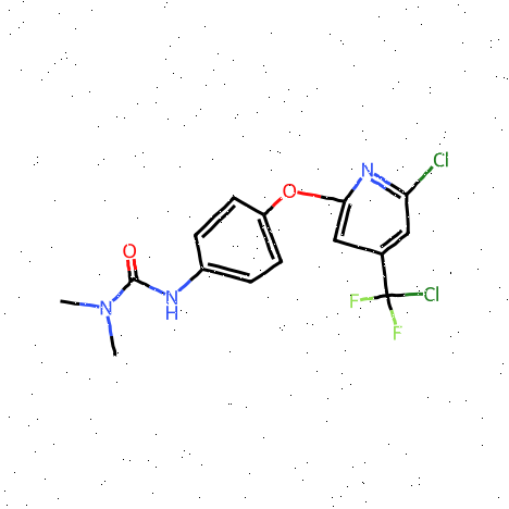 CN(C)C(=O)Nc1ccc(Oc2cc(C(F)(F)Cl)cc(Cl)n2)cc1